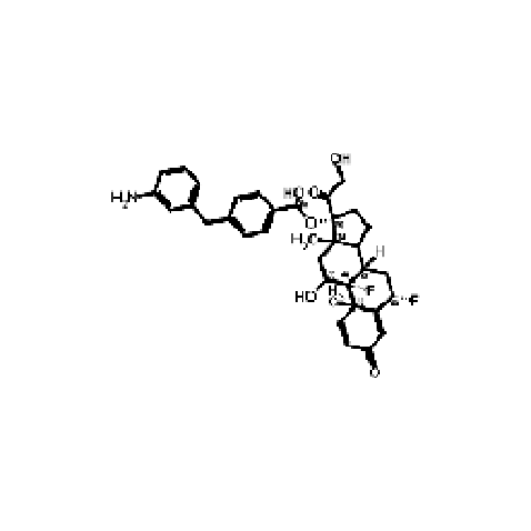 C[C@]12C=CC(=O)C=C1[C@@H](F)C[C@H]1C3CC[C@](O[C@@H](O)c4ccc(Cc5cccc(N)c5)cc4)(C(=O)CO)[C@@]3(C)C[C@H](O)[C@@]12F